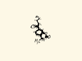 Cc1nc(=O)oc2cc(C(=O)CCCBr)ccc12